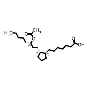 CCCCC[C@@H](CC[C@H]1CCC[C@@H]1CCCCCCC(=O)O)OC(C)=O